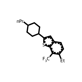 CCCC1CCC(c2cc3ccc(CC)c(C(F)(F)F)c3s2)CC1